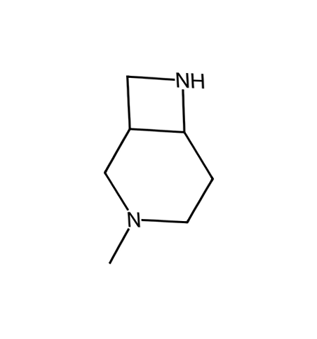 CN1CCC2NCC2C1